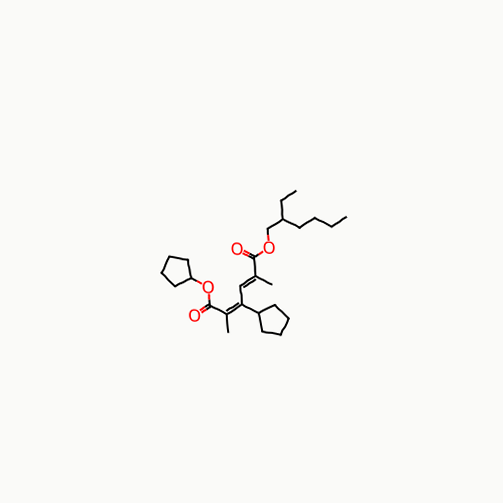 CCCCC(CC)COC(=O)C(C)=CC(=C(C)C(=O)OC1CCCC1)C1CCCC1